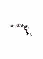 CCOC(=O)[C@H]1[C@@H]2Cc3cc(OCc4cc(-c5ccc(N6CC7(C6)CN(S(C)(=O)=O)C7)cc5F)c(C(F)(F)F)cc4F)ncc3[C@@H]21